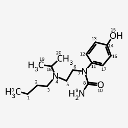 CCCCN(CCN(C(N)=O)c1ccc(O)cc1)C(C)C